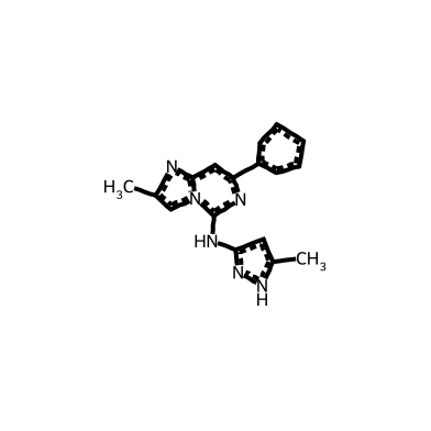 Cc1cn2c(Nc3cc(C)[nH]n3)nc(-c3ccccc3)cc2n1